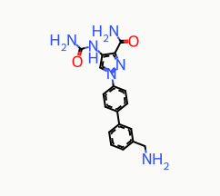 NCc1cccc(-c2ccc(-n3cc(NC(N)=O)c(C(N)=O)n3)cc2)c1